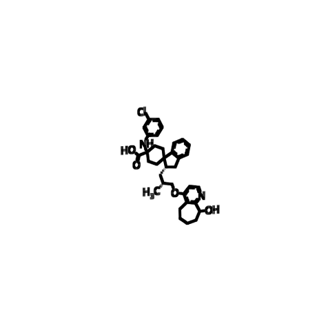 C[C@@H](COc1ccnc2c1CCCCC2O)C[C@H]1Cc2ccccc2C12CCC(Nc1cccc(Cl)c1)(C(=O)O)CC2